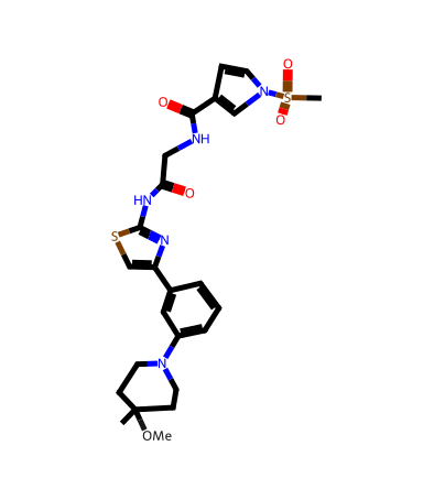 COC1(C)CCN(c2cccc(-c3csc(NC(=O)CNC(=O)c4ccn(S(C)(=O)=O)c4)n3)c2)CC1